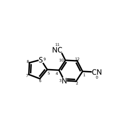 N#Cc1cnc(-c2cccs2)c(C#N)c1